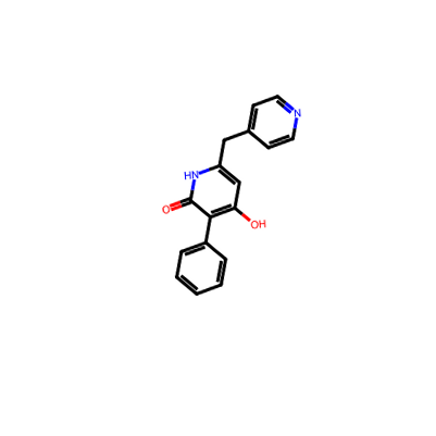 O=c1[nH]c(Cc2ccncc2)cc(O)c1-c1ccccc1